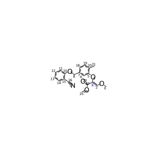 CO/C=C(\Oc1cc(COc2ccccc2C#N)ccc1C)C(=O)OC